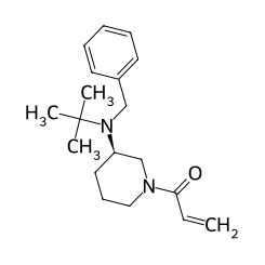 C=CC(=O)N1CCC[C@@H](N(Cc2ccccc2)C(C)(C)C)C1